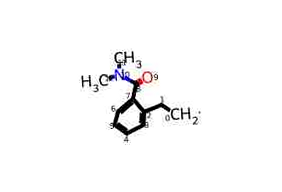 [CH2]Cc1ccccc1C(=O)N(C)C